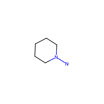 [N]N1CCCCC1